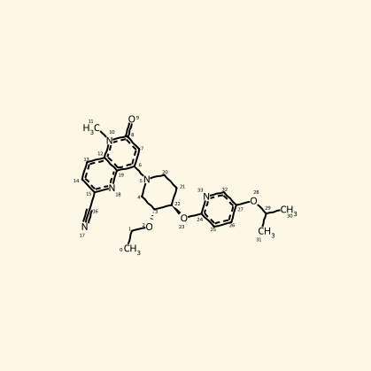 CCO[C@@H]1CN(c2cc(=O)n(C)c3ccc(C#N)nc23)CC[C@H]1Oc1ccc(OC(C)C)cn1